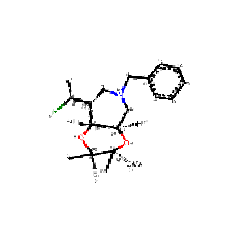 CC[C@@]1(C)O[C@@H]2[C@@H]([C@H](C)F)CN(Cc3ccccc3)C[C@H]2O[C@]1(C)OC